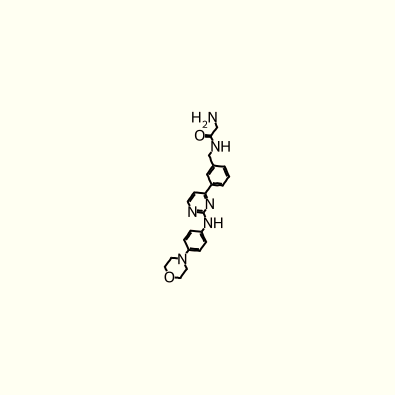 NCC(=O)NCc1cccc(-c2ccnc(Nc3ccc(N4CCOCC4)cc3)n2)c1